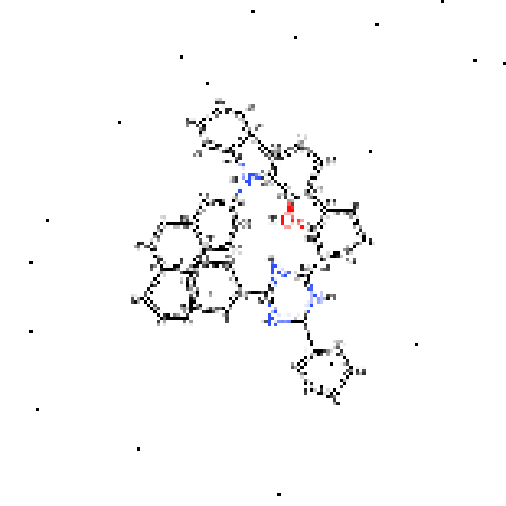 c1ccc(-c2nc(-c3ccccc3)nc(-c3cccc4c3oc3c4ccc4c5ccccc5n(-c5ccc6c(ccc7ccccc76)c5)c43)n2)cc1